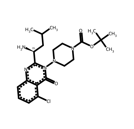 CC(C)C[C@H](N)c1nc2cccc(Cl)c2c(=O)n1N1CCN(C(=O)OC(C)(C)C)CC1